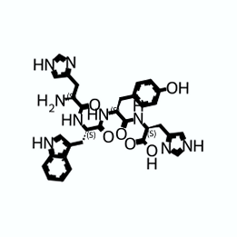 N[C@@H](Cc1c[nH]cn1)C(=O)N[C@@H](Cc1c[nH]c2ccccc12)C(=O)N[C@@H](Cc1ccc(O)cc1)C(=O)N[C@@H](Cc1c[nH]cn1)C(=O)O